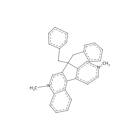 C[n+]1ccc2c(c1)C(Cc1ccccc1)(Cc1ccccc1)c1c[n+](C)c3ccccc3c1-2